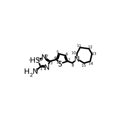 NC1=NC(c2ccc(CN3CCCCCC3)s2)=N[SH]1